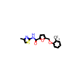 Cc1csc(NC(=O)c2ccc(COc3ccccc3C(F)(F)F)o2)n1